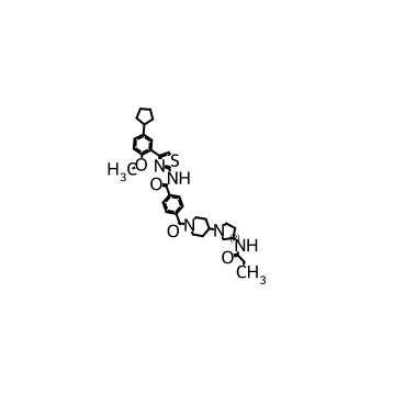 CCC(=O)N[C@@H]1CCN(C2CCN(C(=O)c3ccc(C(=O)Nc4nc(-c5cc(C6CCCC6)ccc5OC)cs4)cc3)CC2)C1